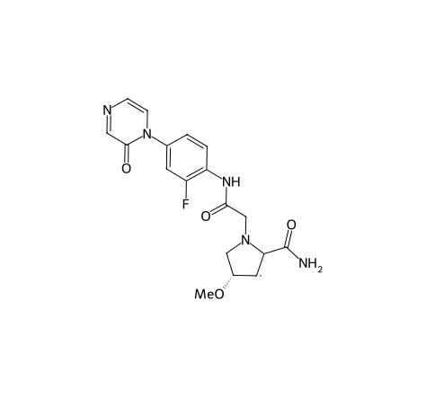 CO[C@H]1[CH]C(C(N)=O)N(CC(=O)Nc2ccc(-n3ccncc3=O)cc2F)C1